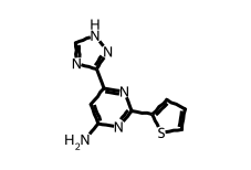 Nc1cc(-c2nc[nH]n2)nc(-c2cccs2)n1